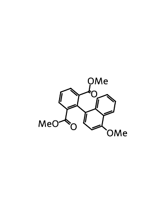 COC(=O)c1cccc(C(=O)OC)c1-c1ccc(OC)c2ccccc12